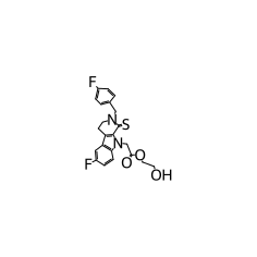 O=C(Cn1c2c(c3cc(F)ccc31)CCN(Cc1ccc(F)cc1)C2=S)OCCO